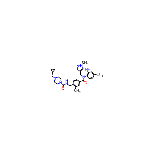 Cc1ccc2c(c1)Nc1c(cnn1C)CN2C(=O)c1ccc(CNC(=O)N2CCN(CC3CC3)CC2)c(C)c1